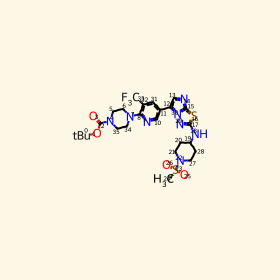 CC(C)(C)OC(=O)N1CCN(c2ncc(-c3cnc4sc(NC5CCN(S(C)(=O)=O)CC5)nn34)cc2C(F)(F)F)CC1